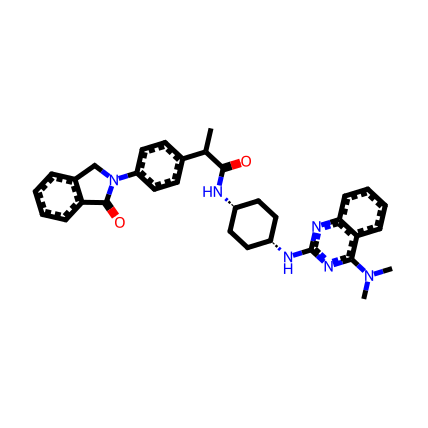 CC(C(=O)N[C@H]1CC[C@@H](Nc2nc(N(C)C)c3ccccc3n2)CC1)c1ccc(N2Cc3ccccc3C2=O)cc1